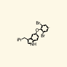 CC(C)Cc1c[nH]c2ccc(Oc3c(Br)c[c]cc3Br)cc12